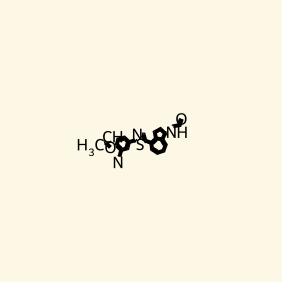 CC(C)Oc1ccc(-c2ncc(C3=C4CCC(NCC=O)C4=CCC=C3)s2)cc1C#N